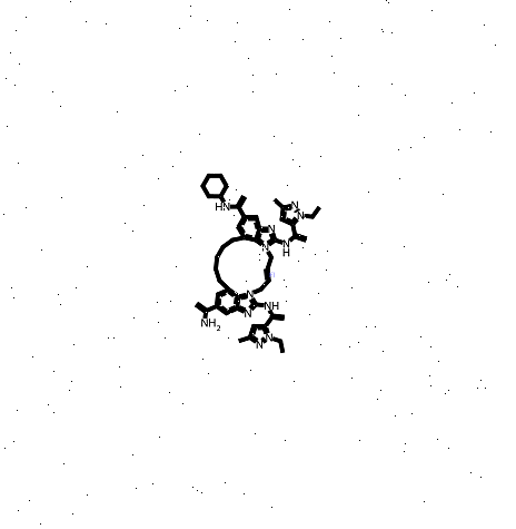 C=C(N)c1cc2c3c(c1)nc(NC(=C)c1cc(C)nn1CC)n3C/C=C/Cn1c(NC(=C)c3cc(C)nn3CC)nc3cc(C(=C)NC4CCCCC4)cc(c31)CCCCC2